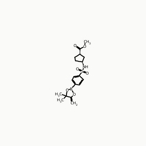 C=C1OB(c2ccc(S(=O)(=O)N[C@H]3CC[C@@H](C(=O)OC)C3)cc2)OC1(C)C